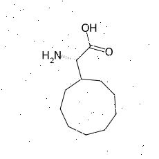 N[C@H](C(=O)O)C1CCCCCCCC1